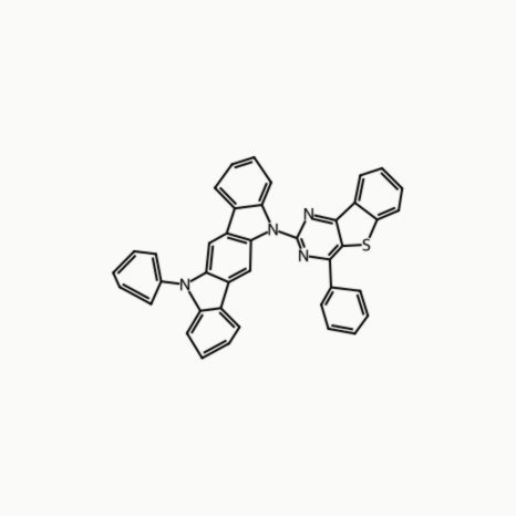 c1ccc(-c2nc(-n3c4ccccc4c4cc5c(cc43)c3ccccc3n5-c3ccccc3)nc3c2sc2ccccc23)cc1